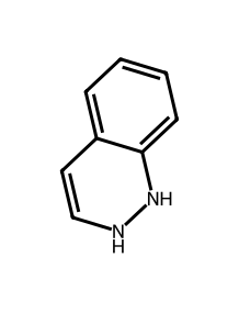 C1=Cc2ccccc2NN1